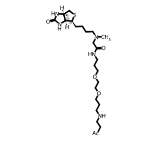 CC(=O)CCNCCCOCCOCCCNC(=O)CN(C)CCCC[C@@H]1SC[C@@H]2NC(=O)N[C@@H]21